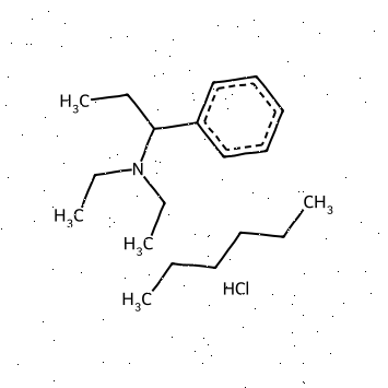 CCC(c1ccccc1)N(CC)CC.CCCCCC.Cl